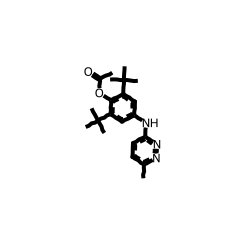 CC(=O)Oc1c(C(C)(C)C)cc(Nc2ccc(C)nn2)cc1C(C)(C)C